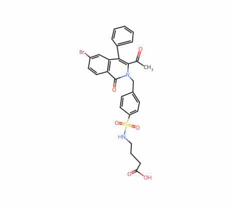 CC(=O)c1c(-c2ccccc2)c2cc(Br)ccc2c(=O)n1Cc1ccc(S(=O)(=O)NCCCC(=O)O)cc1